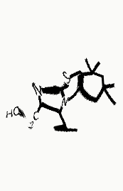 C=C(C)c1c(C(=O)O)nc2sc3c(n12)CC(C)(C)CC3(C)C